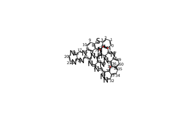 c1ccc2c(c1)Nc1c(cccc1-n1c(-c3ncc4nccnc4n3)nc3nc(-c4nncc5ccccc45)nc-3c1-c1cccc3nc4ccccc4nc13)S2